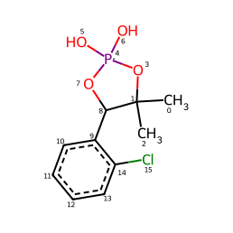 CC1(C)O[P](O)(O)OC1c1ccccc1Cl